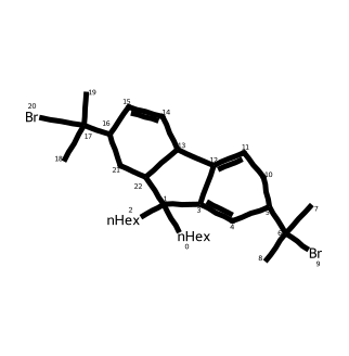 CCCCCCC1(CCCCCC)C2=CC(C(C)(C)Br)CC=C2C2C=CC(C(C)(C)Br)CC21